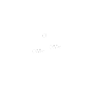 COC.COCl